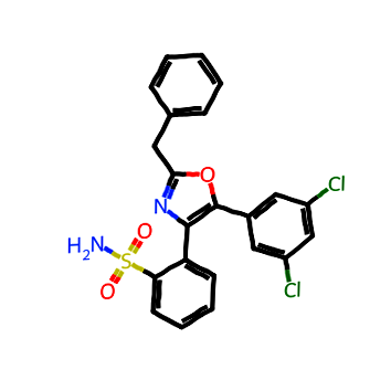 NS(=O)(=O)c1ccccc1-c1nc(Cc2ccccc2)oc1-c1cc(Cl)cc(Cl)c1